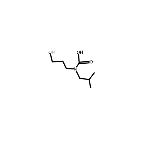 CC(C)CN(CCCO)C(=O)O